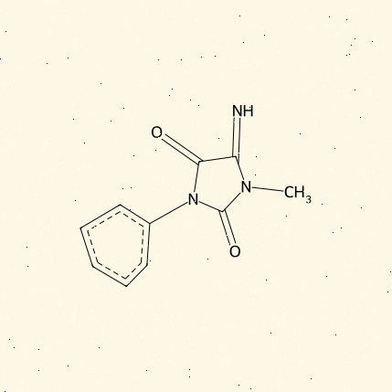 CN1C(=N)C(=O)N(c2ccccc2)C1=O